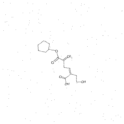 C=C(CC=C(CCO)C(=O)O)C(=O)OC1CCCCC1